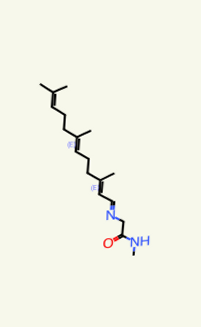 CNC(=O)CN=C/C=C(\C)CC/C=C(\C)CCC=C(C)C